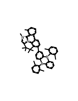 Cc1cccc(C)c1B1c2ccccc2B(c2c(C)cccc2C)c2cc(-c3ccc4c5cccc(C)c5c5n6c(c[n+]5C)C(C)(C)C(C)(C)c3c46)ccc21